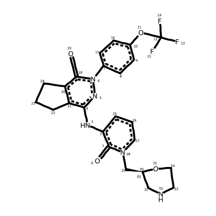 O=c1c(Nc2nn(-c3ccc(OC(F)(F)F)cc3)c(=O)c3c2CCC3)cccn1C[C@@H]1CNCCO1